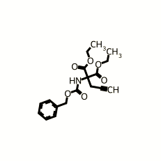 C#CCC(NC(=O)OCc1ccccc1)(C(=O)OCC)C(=O)OCC